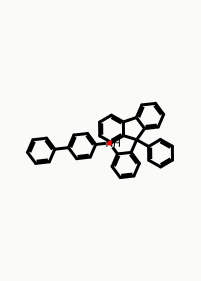 c1ccc(-c2ccc(Nc3ccccc3C3(c4ccccc4)c4ccccc4-c4ccccc43)cc2)cc1